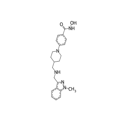 Cn1nc(CNCC2CCN(c3ccc(C(=O)NO)cc3)CC2)c2ccccc21